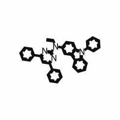 C=CN(c1ccc2c(c1)c1ccccc1n2-c1ccccc1)c1nc(-c2ccccc2)cc(-c2ccccc2)n1